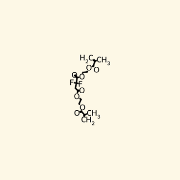 C=C(C)C(=O)OCCOC(=O)CC(F)(F)C(=O)OCCOC(=O)C(=C)C